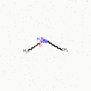 CCCCCCCCCCC=NN=C(N)NOC(=O)CCCCCCCC